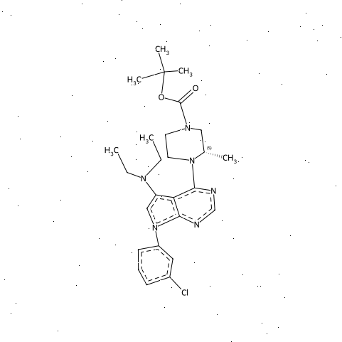 CCN(CC)c1cn(-c2cccc(Cl)c2)c2ncnc(N3CCN(C(=O)OC(C)(C)C)C[C@@H]3C)c12